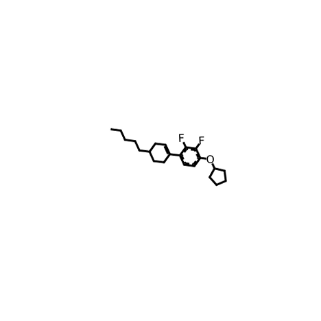 CCCCCC1CC=C(c2ccc(OC3CCCC3)c(F)c2F)CC1